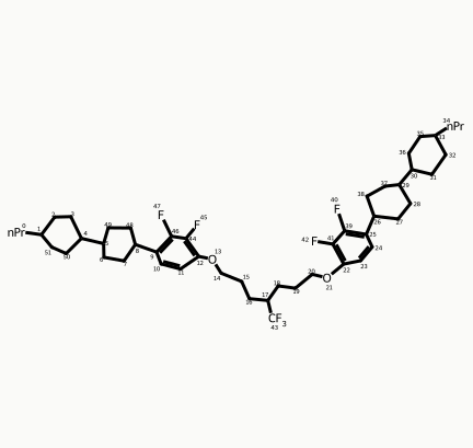 CCCC1CCC(C2CCC(c3ccc(OCCCC(CCCOc4ccc(C5CCC(C6CCC(CCC)CC6)CC5)c(F)c4F)C(F)(F)F)c(F)c3F)CC2)CC1